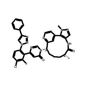 C[C@@H]1CCC[C@H](n2cnc(-c3c(-n4cc(-c5ccccc5)nn4)ccc(Cl)c3F)cc2=O)c2cc(ccn2)-c2c(cnn2C)NC1=O